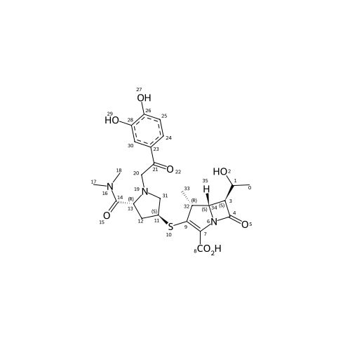 CC(O)[C@H]1C(=O)N2C(C(=O)O)=C(S[C@H]3C[C@H](C(=O)N(C)C)N(CC(=O)c4ccc(O)c(O)c4)C3)[C@H](C)[C@H]12